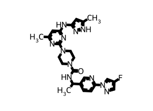 Cc1cc(Nc2cc(C)[nH]n2)nc(N2CCN(C(=O)NC(C)c3ccc(-n4cc(F)cn4)nc3)CC2)n1